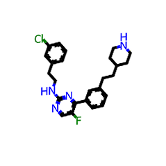 Fc1cnc(NCCc2cccc(Cl)c2)nc1-c1cccc(CCC2CCNCC2)c1